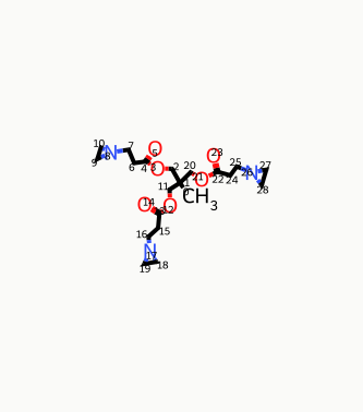 CC(COC(=O)CCN1CC1)(COC(=O)CCN1CC1)COC(=O)CCN1CC1